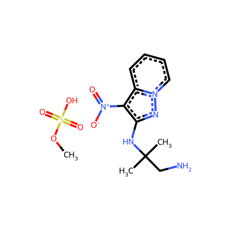 CC(C)(CN)Nc1nn2ccccc2c1[N+](=O)[O-].COS(=O)(=O)O